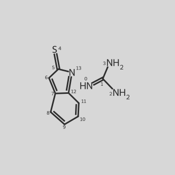 N=C(N)N.S=C1C=c2ccccc2=N1